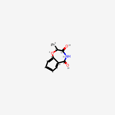 CC(C)C1Oc2ccccc2C(=O)NC1=O